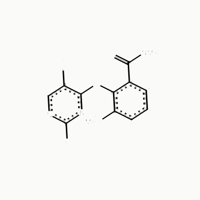 CNC(=O)c1cccc(OC)c1Oc1nc(Cl)ncc1Br